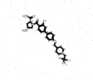 NC(=O)[C@@H]1C[C@@H](O)CN1C(=O)c1ccc(-c2ccc(OCC3CCN(CC(F)(F)C(F)(F)F)CC3)cc2)cc1F